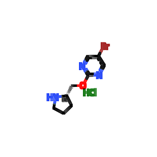 Brc1cnc(OC[C@@H]2CCCN2)nc1.Cl